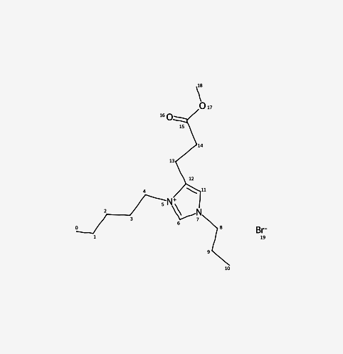 CCCCC[n+]1cn(CCC)cc1CCC(=O)OC.[Br-]